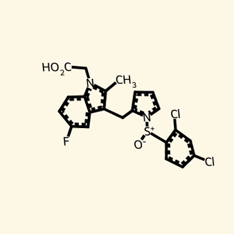 Cc1c(Cc2cccn2[S+]([O-])c2ccc(Cl)cc2Cl)c2cc(F)ccc2n1CC(=O)O